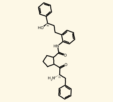 N[C@@H](Cc1ccccc1)C(=O)C1CCCC1C(=O)Nc1ccccc1CC[C@@H](O)c1ccccc1